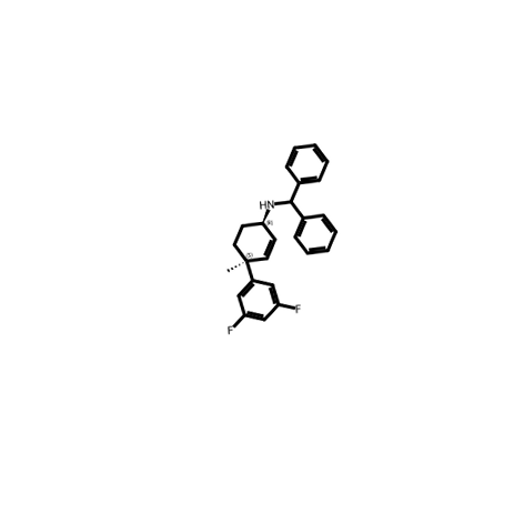 C[C@@]1(c2cc(F)cc(F)c2)C=C[C@H](NC(c2ccccc2)c2ccccc2)CC1